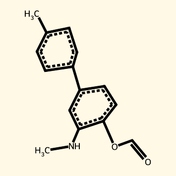 CNc1cc(-c2ccc(C)cc2)ccc1OC=O